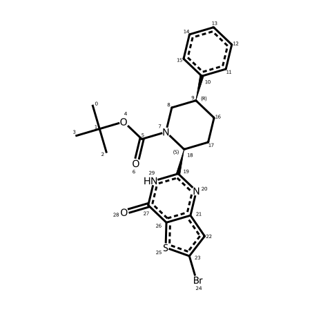 CC(C)(C)OC(=O)N1C[C@@H](c2ccccc2)CC[C@H]1c1nc2cc(Br)sc2c(=O)[nH]1